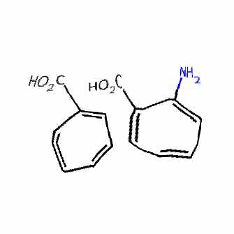 Nc1ccccc1C(=O)O.O=C(O)c1ccccc1